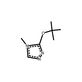 Cn1cnnc1OC(C)(C)C